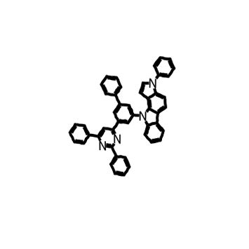 c1ccc(-c2cc(-c3cc(-c4ccccc4)nc(-c4ccccc4)n3)cc(-n3c4ccccc4c4ccc5c(ccn5-c5ccccc5)c43)c2)cc1